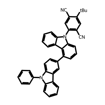 CC(C)(C)c1cc(C#N)c(-n2c3ccccc3c3c(-c4ccc5c(c4)c4ccccc4n5-c4ccccc4)cccc32)cc1C#N